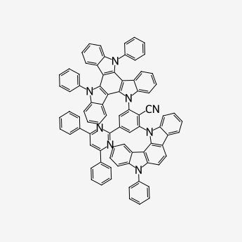 N#Cc1c(-n2c3ccccc3c3ccc4c(c5ccccc5n4-c4ccccc4)c32)cc(-c2nc(-c3ccccc3)cc(-c3ccccc3)n2)cc1-n1c2ccccc2c2c3c(c4ccccc4n3-c3ccccc3)c3c(c4ccccc4n3-c3ccccc3)c21